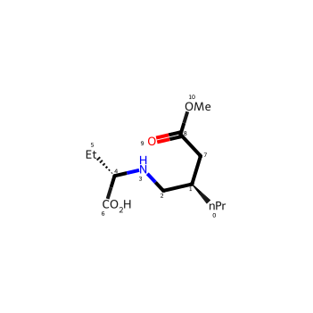 CCC[C@@H](CN[C@@H](CC)C(=O)O)CC(=O)OC